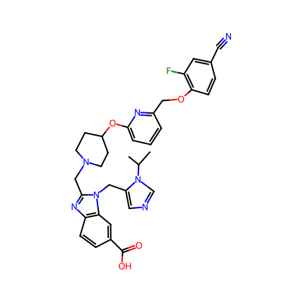 CC(C)n1cncc1Cn1c(CN2CCC(Oc3cccc(COc4ccc(C#N)cc4F)n3)CC2)nc2ccc(C(=O)O)cc21